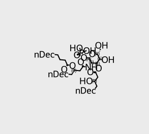 CCCCCCCCCCCCCC(=O)O[C@H](CCCCCCCCCCC)CC(=O)N[C@H]1[C@@H](OP(=O)(O)O)O[C@H](CO)[C@@H](O)[C@@H]1OC(=O)C[C@H](O)CCCCCCCCCCC